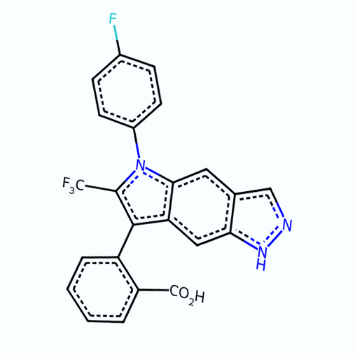 O=C(O)c1ccccc1-c1c(C(F)(F)F)n(-c2ccc(F)cc2)c2cc3cn[nH]c3cc12